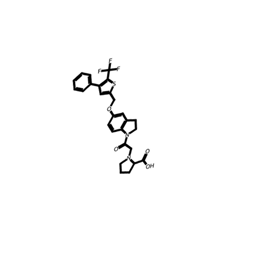 O=C(O)C1CCCN1CC(=O)N1CCc2cc(OCc3cc(-c4ccccc4)c(C(F)(F)F)s3)ccc21